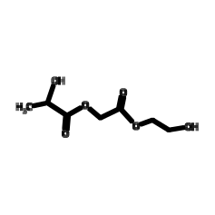 CC(O)C(=O)OCC(=O)OCCO